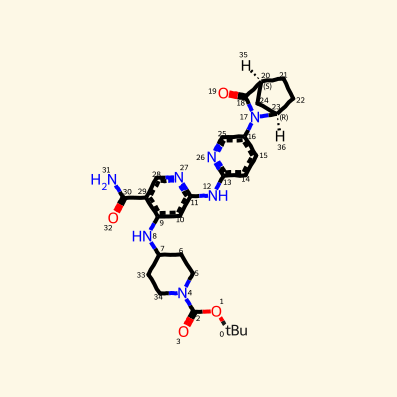 CC(C)(C)OC(=O)N1CCC(Nc2cc(Nc3ccc(N4C(=O)[C@H]5CC[C@@H]4C5)cn3)ncc2C(N)=O)CC1